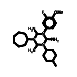 COc1ccc(N2C(N)N(C3CCCCCC3)C(N)N(C3CCC(C)CC3)C2N)cc1F